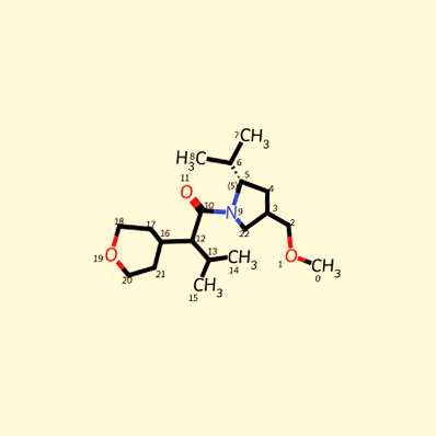 COCC1C[C@@H](C(C)C)N(C(=O)C(C(C)C)C2CCOCC2)C1